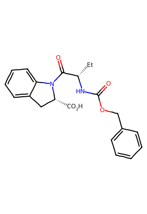 CC[C@H](NC(=O)OCc1ccccc1)C(=O)N1c2ccccc2C[C@H]1C(=O)O